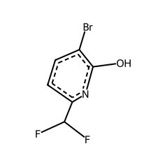 Oc1nc(C(F)F)ccc1Br